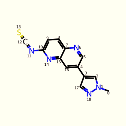 Cn1cc(-c2cnc3ccc(N=C=S)nc3c2)cn1